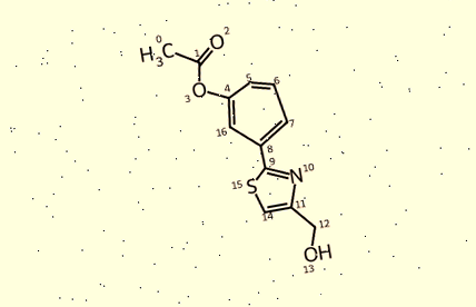 CC(=O)Oc1cccc(-c2nc(CO)cs2)c1